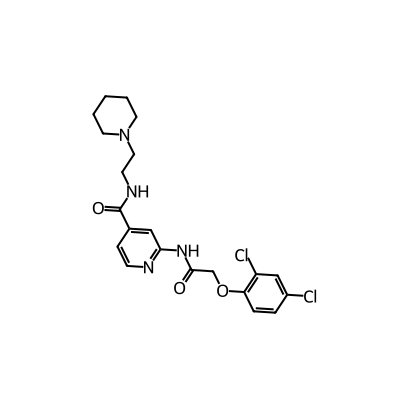 O=C(COc1ccc(Cl)cc1Cl)Nc1cc(C(=O)NCCN2CCCCC2)ccn1